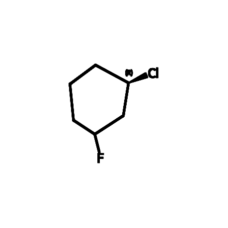 FC1CCC[C@@H](Cl)C1